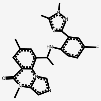 Cc1cc(C(C)Nc2ccc(F)cc2-c2nc(C)n(C)n2)c2c(c1)c(=O)n(C)c1cncn21